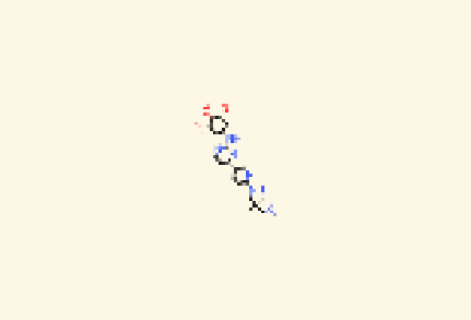 COc1cc(Nc2nccc(-c3ccc(NCC(C)(C)CN(C)C)nc3)n2)cc(OC)c1OC